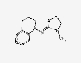 CN1CCS/C1=N\C1CCCc2ccccc21